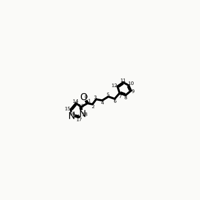 O=C(CCCCCc1ccccc1)c1ccn[c]n1